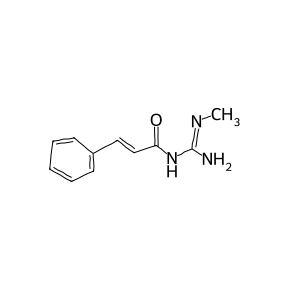 CN=C(N)NC(=O)C=Cc1ccccc1